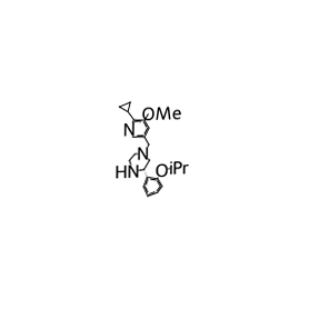 COc1cc(CN2CCN[C@@H](c3ccccc3OC(C)C)C2)cnc1C1CC1